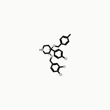 Cc1ccc(CO[C@]2(c3ccc(Cl)cc3)CCNC[C@@H]2OCc2ccc(Cl)c(Cl)c2)cc1